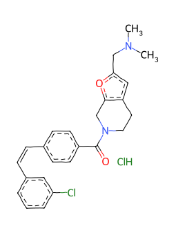 CN(C)Cc1cc2c(o1)CN(C(=O)c1ccc(/C=C\c3cccc(Cl)c3)cc1)CC2.Cl